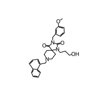 COc1cccc(CN2C(=O)N(CCCO)C3(CCN(Cc4cccc5ccccc45)CC3)C2=O)c1